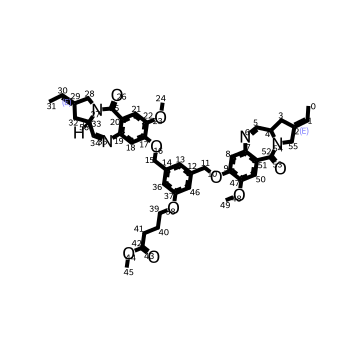 C/C=C1\CC2C=Nc3cc(OCc4cc(COc5cc6c(cc5OC)C(=O)N5C/C(=C/C)C[C@H]5C=N6)cc(OCCCC(=O)OC)c4)c(OC)cc3C(=O)N2C1